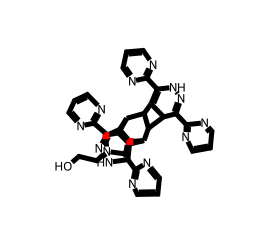 OCCN1CC2C(C1)C1C3C(c4ncccn4)=NNC(c4ncccn4)=C3C2C2C3C(c4ncccn4)=NNC(c4ncccn4)=C3C12